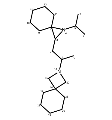 CC(CC1N(C(C)C)C12CCCCC2)N1CC2(CCCCC2)C1